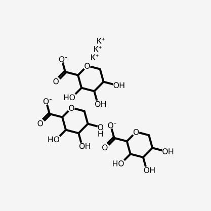 O=C([O-])C1OCC(O)C(O)C1O.O=C([O-])C1OCC(O)C(O)C1O.O=C([O-])C1OCC(O)C(O)C1O.[K+].[K+].[K+]